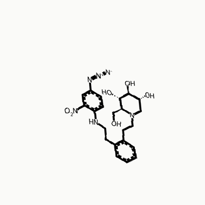 [N-]=[N+]=Nc1ccc(NCCc2ccccc2CCN2C[C@@H](O)[C@H](O)[C@@H](O)[C@@H]2CO)c([N+](=O)[O-])c1